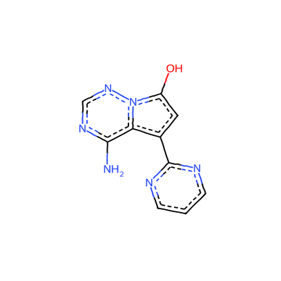 Nc1ncnn2c(O)cc(-c3ncccn3)c12